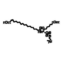 CCCCCCCC/C=C\CCCCCCCCCCCCCCCC(=O)N[C@@H](COP(=O)([O-])OCC[N+](C)(C)C)[C@H](O)CCCCCCCCCCCCCCC